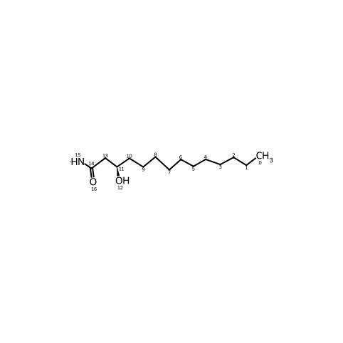 CCCCCCCCCCC[C@@H](O)CC([NH])=O